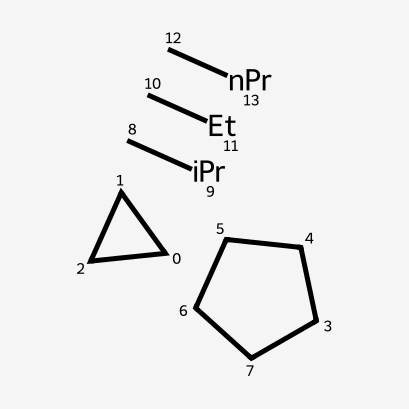 C1CC1.C1CCCC1.CC(C)C.CCC.CCCC